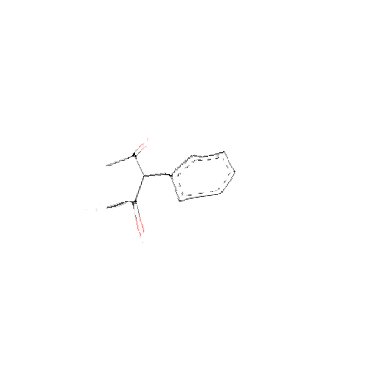 CCC(=O)C(C(=O)C(F)(F)F)c1ccccc1